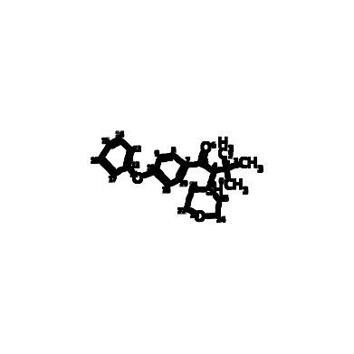 CC(C)(C)C(C(=O)c1ccc(Oc2ccccc2)cc1)[SH]1CCOCC1